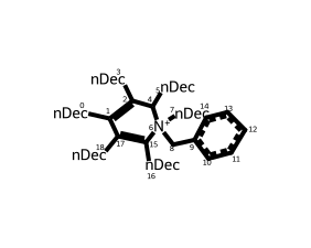 CCCCCCCCCCC1=C(CCCCCCCCCC)C(CCCCCCCCCC)[N+](CCCCCCCCCC)(Cc2ccccc2)C(CCCCCCCCCC)=C1CCCCCCCCCC